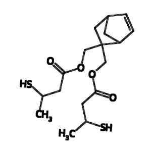 CC(S)CC(=O)OCC1(COC(=O)CC(C)S)CC2C=CC1C2